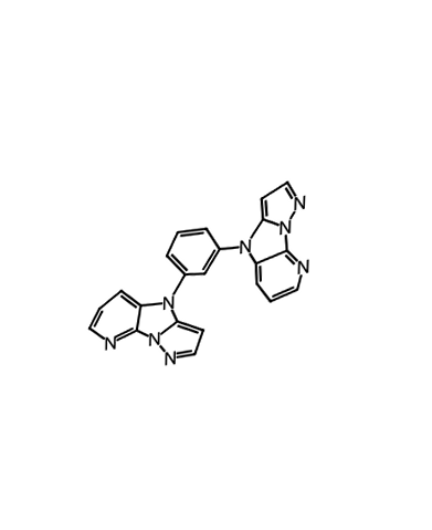 c1cc(-n2c3cccnc3n3nccc23)cc(-n2c3cccnc3n3nccc23)c1